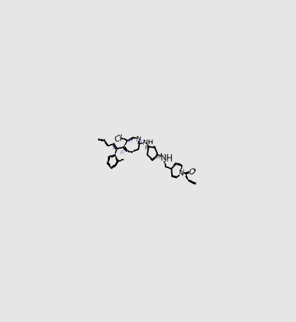 C=CC(=O)N1CCC(CN[C@H]2CC[C@@H](N/C3=N/C=C(Cl)\C(C(=C\CCC)\c4ccccc4C)=C/CC3)C2)CC1